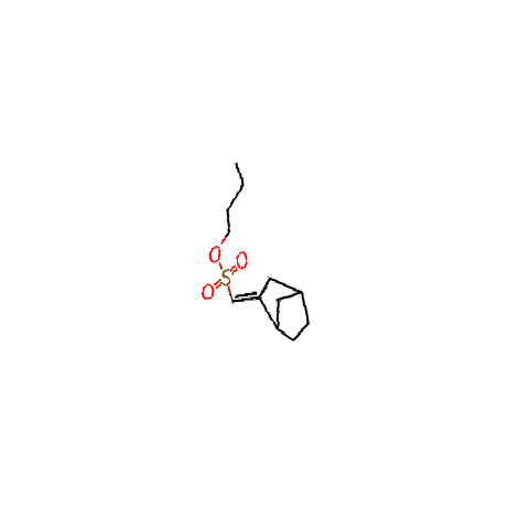 CCCCOS(=O)(=O)C=C1CC2CCC1C2